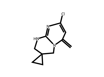 C=C1C=C(Cl)N=C2NCC3(CC3)CN12